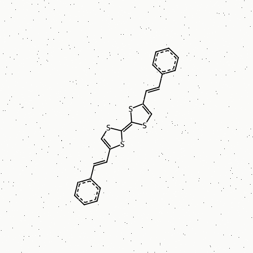 C1=C(/C=C/c2ccccc2)S/C(=C2\SC=C(/C=C/c3ccccc3)S2)S1